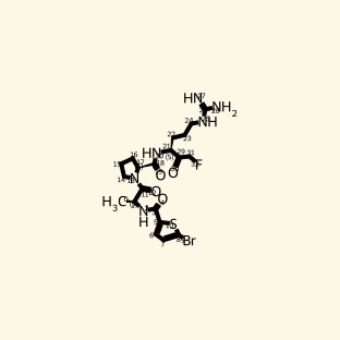 C[C@H](NC(=O)c1ccc(Br)s1)C(=O)N1CCC[C@H]1C(=O)N[C@@H](CCCNC(=N)N)C(=O)CF